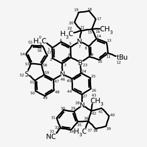 Cc1cc2c3c(c1)N1c4c(cc(C(C)(C)C)cc4C4(C)CCCCC14C)B3c1ccc(N3c4ccc(C#N)cc4C4(C)CCCCC34C)cc1N2c1cccc2sc3ccccc3c12